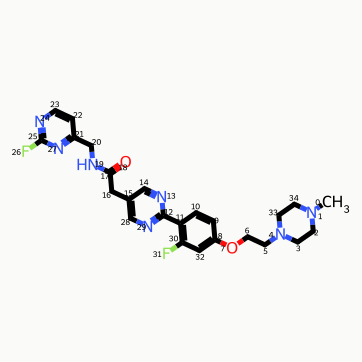 CN1CCN(CCOc2ccc(-c3ncc(CC(=O)NCc4ccnc(F)n4)cn3)c(F)c2)CC1